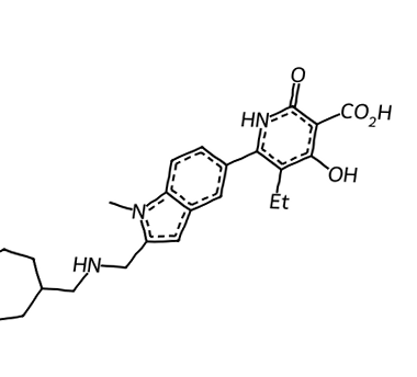 CCc1c(-c2ccc3c(c2)cc(CNCC2CCCCCC2)n3C)[nH]c(=O)c(C(=O)O)c1O